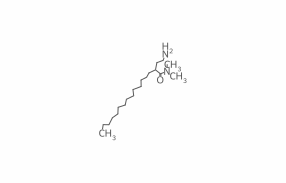 CCCCCCCCCCCCCCC(CCN)C(=O)N(C)C